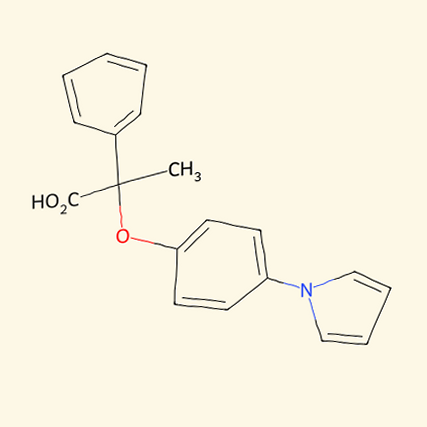 CC(Oc1ccc(-n2cccc2)cc1)(C(=O)O)c1ccccc1